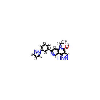 O=c1c2cn[nH]c2c2cnc(-c3cccc(-n4cccn4)c3)cc2n1CC(F)(F)F